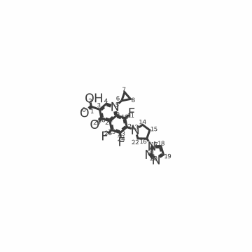 O=C(O)c1cn(C2CC2)c2c(F)c(N3CCC(n4ccnn4)C3)c(F)c(F)c2c1=O